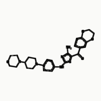 Nc1nc(Nc2ccc(N3CCC(N4CCOCC4)CC3)cc2)sc1C(=O)c1ccc2c(c1)OCCO2